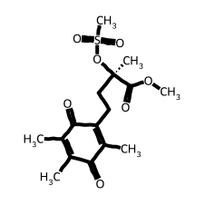 COC(=O)[C@@](C)(CCC1=C(C)C(=O)C(C)=C(C)C1=O)OS(C)(=O)=O